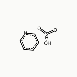 O=[SH](=O)O.c1ccncc1